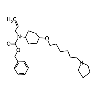 C=CCN(C(=O)OCc1ccccc1)C1CCC(OCCCCCCN2CCCC2)CC1